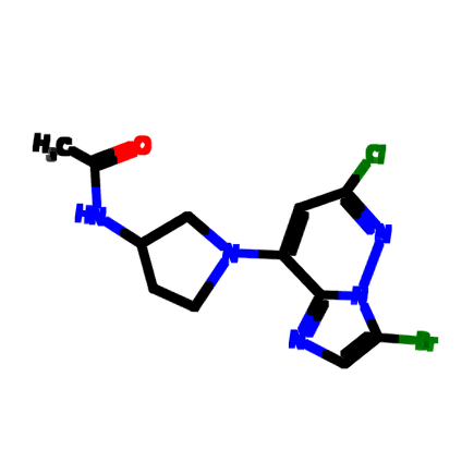 CC(=O)NC1CCN(c2cc(Cl)nn3c(Br)cnc23)C1